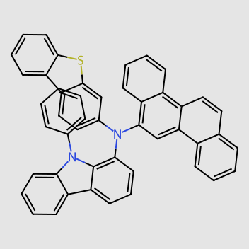 c1ccc(-n2c3ccccc3c3cccc(N(c4ccc5c(c4)sc4ccccc45)c4cc5c6ccccc6ccc5c5ccccc45)c32)cc1